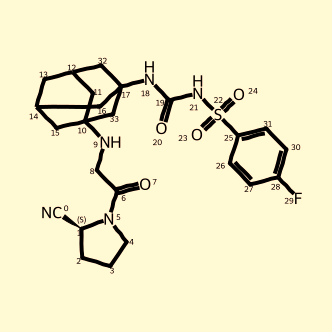 N#C[C@@H]1CCCN1C(=O)CNC12CC3CC(C1)CC(NC(=O)NS(=O)(=O)c1ccc(F)cc1)(C3)C2